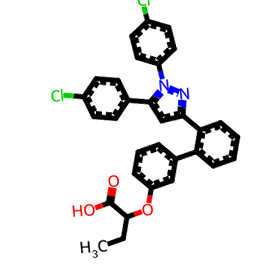 CCC(Oc1cccc(-c2ccccc2-c2cc(-c3ccc(Cl)cc3)n(-c3ccc(Cl)cc3)n2)c1)C(=O)O